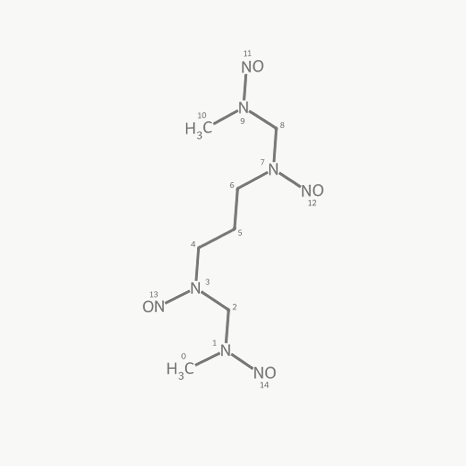 CN(CN(CCCN(CN(C)N=O)N=O)N=O)N=O